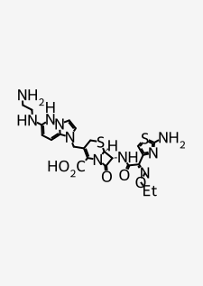 CCO/N=C(\C(=O)N[C@@H]1C(=O)N2C(C(=O)O)=C(CN3C=CN4NC(NCCN)=CC=C34)CS[C@@H]12)c1csc(N)n1